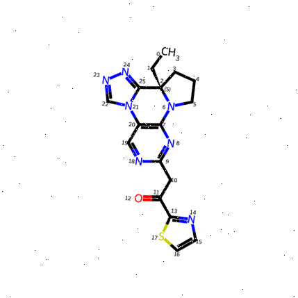 CC[C@@]12CCCN1c1nc(CC(=O)c3nccs3)ncc1-n1cnnc12